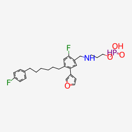 O=[PH](O)OCCCNCc1cc(-c2ccoc2)c(CCCCCCc2ccc(F)cc2)cc1F